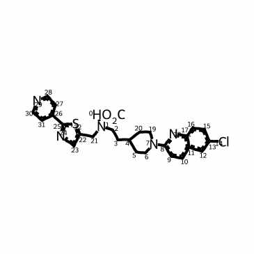 O=C(O)N(CCC1CCN(c2ccc3cc(Cl)ccc3n2)CC1)Cc1cnc(-c2ccncc2)s1